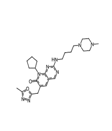 Cc1nnc(Cc2cc3cnc(NCCCCN4CCN(C)CC4)nc3n(C3CCCC3)c2=O)o1